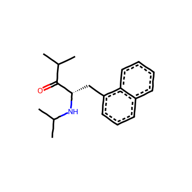 CC(C)N[C@@H](Cc1cccc2ccccc12)C(=O)C(C)C